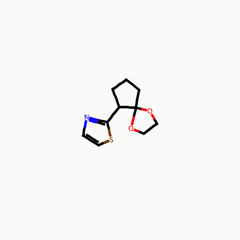 c1csc(C2CCCC23OCCO3)n1